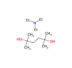 CC(C)(O)CCC(C)(C)O.CCN(CC)CC